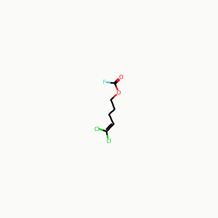 O=C(F)OCCCC=C(Cl)Cl